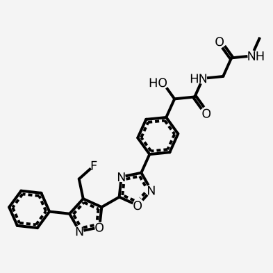 CNC(=O)CNC(=O)C(O)c1ccc(-c2noc(-c3onc(-c4ccccc4)c3CF)n2)cc1